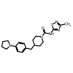 Cc1nsc(NC(=O)N2CCC(Cc3ccc(N4CCCC4)cc3)CC2)n1